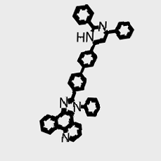 C1=C(c2ccc(-c3ccc(-c4nc5c6ccccc6c6ncccc6c5n4-c4ccccc4)cc3)cc2)NC(c2ccccc2)N=C1c1ccccc1